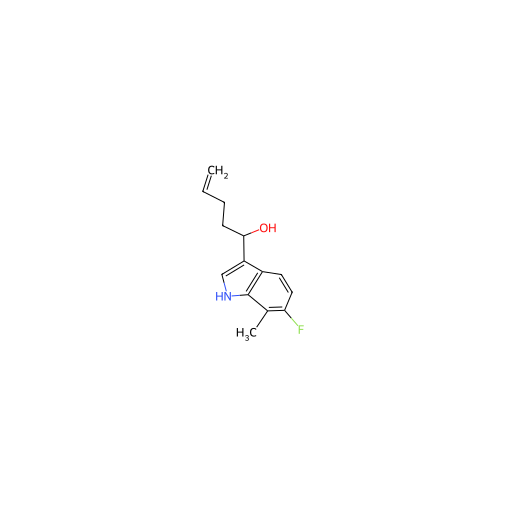 C=CCCC(O)c1c[nH]c2c(C)c(F)ccc12